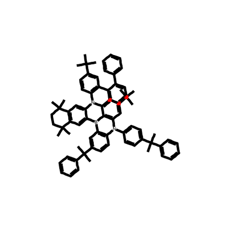 CC(C)(C)c1ccc(N2c3cc4c(cc3B3c5cc(C(C)(C)c6ccccc6)ccc5N(c5ccc(C(C)(C)c6ccccc6)cc5)c5cc(C(C)(C)C)cc2c53)C(C)(C)CCC4(C)C)c(-c2ccccc2-c2ccccc2)c1